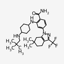 CC(C)(C)CNC1CCC(Nc2cc(-n3nc(C(F)(F)F)c4c3CC(C)(C)CC4)ccc2C(N)=O)CC1